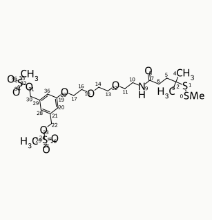 CSSC(C)(C)CCC(=O)NCCOCCOCCOc1cc(COS(C)(=O)=O)cc(COS(C)(=O)=O)c1